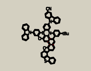 CC(C)(C)c1ccc(N2c3cc(-n4c5ccccc5c5cc(C#N)ccc54)ccc3B3c4ccc(-n5c6ccccc6c6ccccc65)cc4Oc4cc(-c5cccc6c5oc5ccc7sc8ccccc8c7c56)cc2c43)c(-c2ccccc2)c1